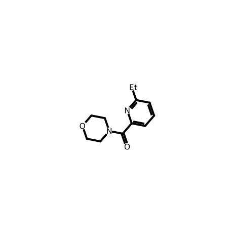 CCc1cccc(C(=O)N2CCOCC2)n1